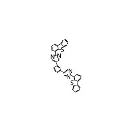 c1cc(-c2cnc(-c3cccc4c3sc3ccccc34)nc2)cc(-c2cnc(-c3cccc4c3sc3ccccc34)nc2)c1